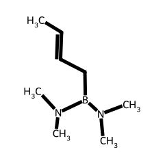 C/C=C/CB(N(C)C)N(C)C